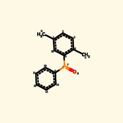 Cc1ccc(C)c([P](=O)c2ccccc2)c1